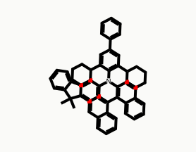 CC1(C)c2ccccc2-c2cc(N(c3ccc4ccccc4c3-c3cccc4ccccc34)c3c(C4CCCCC4)cc(-c4ccccc4)cc3C3CCCCC3)ccc21